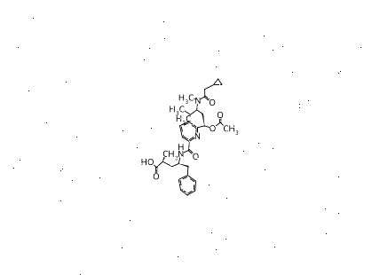 CC(=O)O[C@H](CC(C(C)C)N(C)C(=O)CC1CC1)c1cccc(C(=O)N[C@@H](Cc2ccccc2)C[C@H](C)C(=O)O)n1